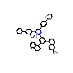 CC1C=Cc2c(cccc2-c2cc(-c3nc(-c4ccc(-c5ccccn5)cc4)cc(C4C=CC(c5ccccn5)=CC4C)n3)cc(-c3cccc4ccccc34)c2)C1